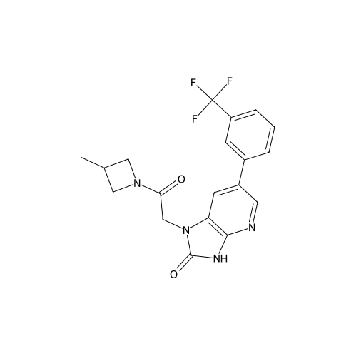 CC1CN(C(=O)Cn2c(=O)[nH]c3ncc(-c4cccc(C(F)(F)F)c4)cc32)C1